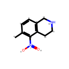 Cc1ccc2c(c1[N+](=O)[O-])CCNC2